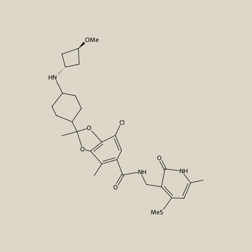 CO[C@H]1C[C@H](NC2CCC(C3(C)Oc4c(Cl)cc(C(=O)NCc5c(SC)cc(C)[nH]c5=O)c(C)c4O3)CC2)C1